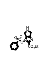 CCOC(=O)c1nc2c(n1OS(=O)(=O)c1ccccc1)CNC2